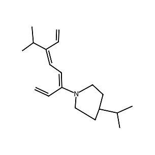 C=C/C(=C\C=C(/C=C)N1CCC(C(C)C)CC1)C(C)C